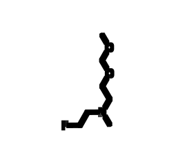 COCOCCN(C)CCF